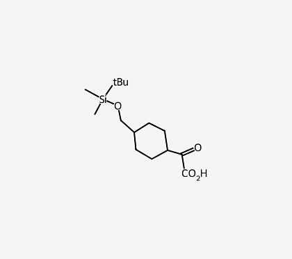 CC(C)(C)[Si](C)(C)OCC1CCC(C(=O)C(=O)O)CC1